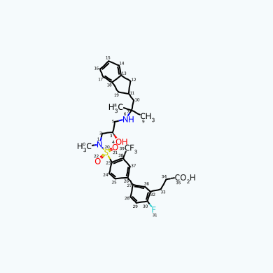 CN(C[C@H](O)CNC(C)(C)CC1Cc2ccccc2C1)S(=O)(=O)c1ccc(-c2ccc(F)c(CCC(=O)O)c2)cc1C(F)(F)F